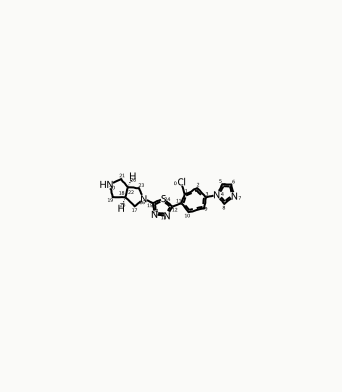 Clc1cc(-n2ccnc2)ccc1-c1nnc(N2C[C@H]3CNC[C@H]3C2)s1